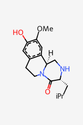 COc1cc2c(cc1O)CCN1C(=O)[C@@H](CC(C)C)NC[C@H]21